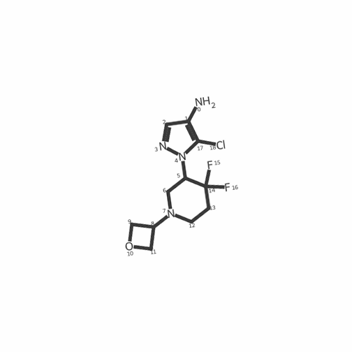 Nc1cnn(C2CN(C3COC3)CCC2(F)F)c1Cl